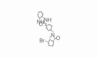 Nc1ccccc1NC(=O)c1ccc(CN2Cc3c(Br)cccc3C2=O)cc1